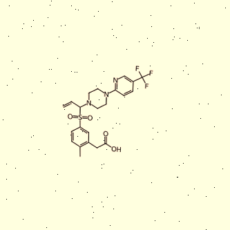 C=CC(N1CCN(c2ccc(C(F)(F)F)cn2)CC1)S(=O)(=O)c1ccc(C)c(CC(=O)O)c1